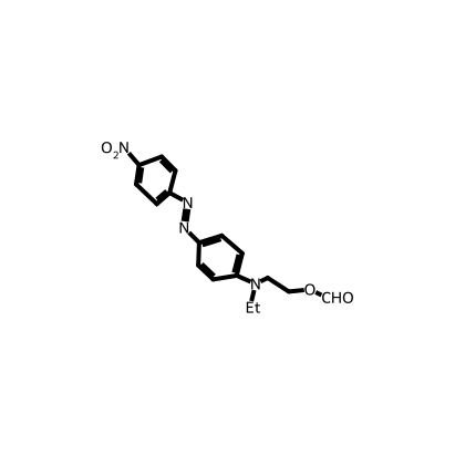 CCN(CCOC=O)c1ccc(N=Nc2ccc([N+](=O)[O-])cc2)cc1